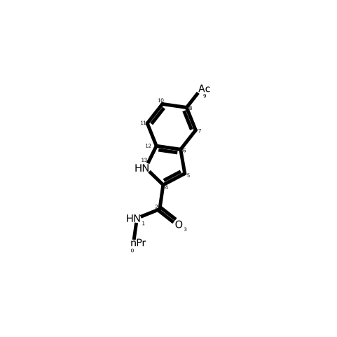 CCCNC(=O)c1cc2cc(C(C)=O)ccc2[nH]1